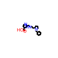 O=C(O)c1ccnc(CNCCC2CCCN2Cc2ccccc2)c1